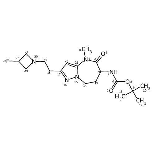 CN1C(=O)C(NC(=O)OC(C)(C)C)CCn2nc(CCN3CC(F)C3)cc21